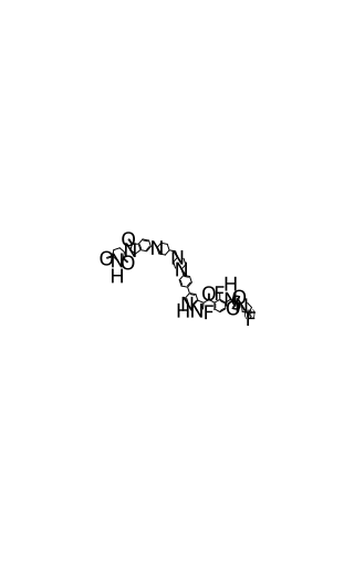 O=C1CCC(N2Cc3cc(N4CCC(CN5CCN(c6ccc(-c7cnc8[nH]cc(C(=O)c9c(F)ccc(NS(=O)(=O)N%10CC[C@@H](F)C%10)c9F)c8c7)cc6)CC5)CC4)ccc3C2=O)C(=O)N1